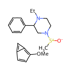 CCN1CCN([S+](C)[O-])CC1c1ccccc1.COc1ccc2cc1-2